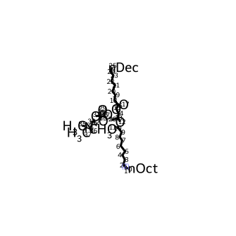 CCCCCCCC/C=C\CCCCCCCC(=O)OC(COC(=O)CCCCCCCCCCCCCCCCC)COP(=O)([O-])OCC[N+](C)(C)C